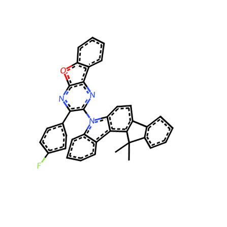 CC1(C)c2ccccc2-c2ccc3c(c21)c1ccccc1n3-c1nc2c(nc1-c1ccc(F)cc1)oc1ccccc12